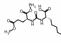 CCCCC[C@H](NC(=O)N[C@@H](CCC(=O)OP)C(=O)OP)C(=O)O